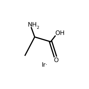 CC(N)C(=O)O.[Ir]